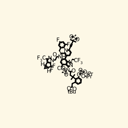 CC(C)OP(=O)(Oc1cccc(CC(=O)OC(C)(C)C)c1C(C)(C)CC(=O)N(c1nn(CC(F)(F)F)c2c(-c3ccc(C#CC(C)(C)S(C)(=O)=O)nc3[C@H](Cc3cc(F)cc(F)c3)NC(=O)Cn3nc(C(F)(F)F)c4c3C(F)(F)[C@@H]3C[C@H]43)ccc(Cl)c12)S(C)(=O)=O)OC(C)C